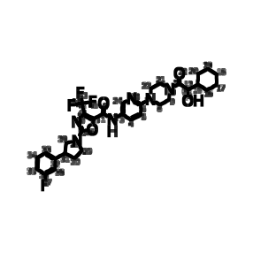 O=C(Nc1ccc(N2CCN(C(=O)[C@H](O)C3CCCCC3)CC2)nc1)c1oc(N2CCC(c3cccc(F)c3)C2)nc1C(F)(F)F